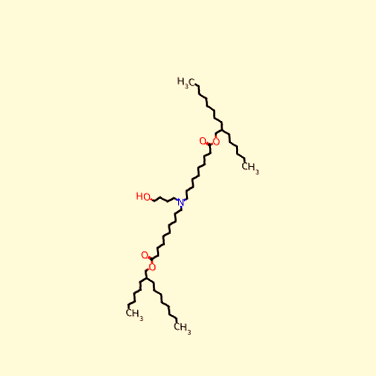 CCCCCCCCC(CCCCCC)COC(=O)CCCCCCCCCN(CCCCO)CCCCCCCCCC(=O)OCC(CCCCCC)CCCCCCCC